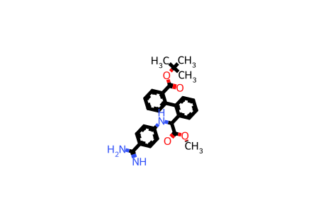 COC(=O)C(Nc1ccc(C(=N)N)cc1)c1ccccc1-c1ccccc1C(=O)OC(C)(C)C